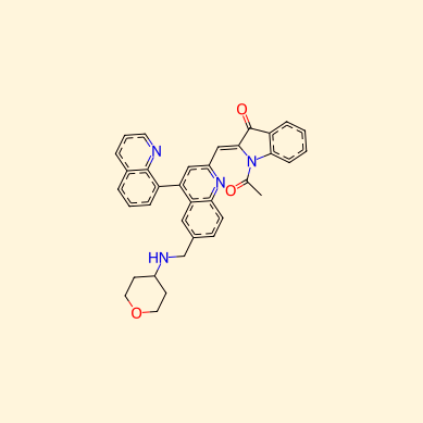 CC(=O)N1/C(=C\c2cc(-c3cccc4cccnc34)c3cc(CNC4CCOCC4)ccc3n2)C(=O)c2ccccc21